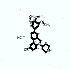 COc1cc(-c2cccc(CN(c3ccc(Cl)cc3)C3CCNCC3)c2)cc(OC)c1OC.Cl